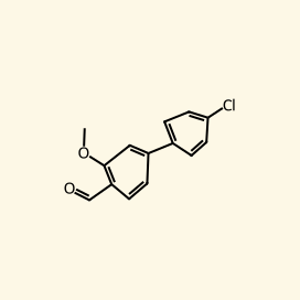 COc1cc(-c2ccc(Cl)cc2)ccc1C=O